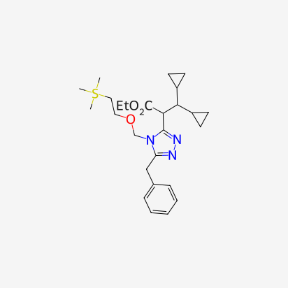 CCOC(=O)C(c1nnc(Cc2ccccc2)n1COCCS(C)(C)C)C(C1CC1)C1CC1